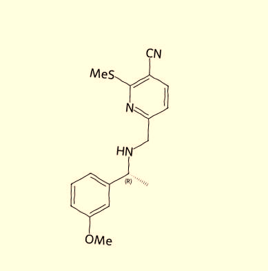 COc1cccc([C@@H](C)NCc2ccc(C#N)c(SC)n2)c1